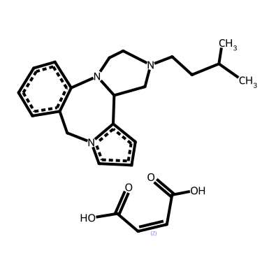 CC(C)CCN1CCN2c3ccccc3Cn3cccc3C2C1.O=C(O)/C=C\C(=O)O